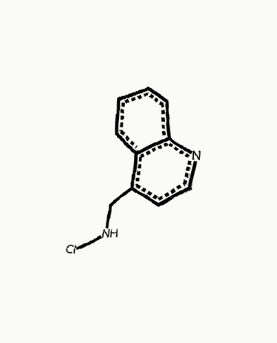 ClNCc1ccnc2ccccc12